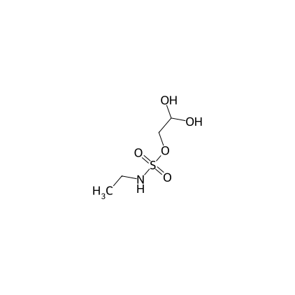 CCNS(=O)(=O)OCC(O)O